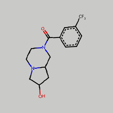 O=C(c1cccc(C(F)(F)F)c1)N1CCN2CC(O)CC2C1